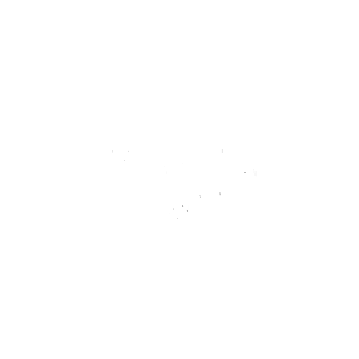 CCOC(=O)CSc1ccc(Br)cc1[N+](=O)[O-]